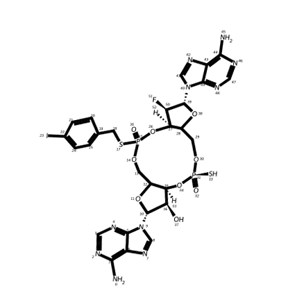 Nc1ncnc2c1ncn2[C@@H]1OC2COP(=O)(SCc3ccc(I)cc3)O[C@@H]3C(CO[P@@](=O)(S)O[C@H]2[C@H]1O)O[C@@H](n1cnc2c(N)ncnc21)[C@@H]3F